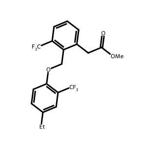 CCc1ccc(OCc2c(CC(=O)OC)cccc2C(F)(F)F)c(C(F)(F)F)c1